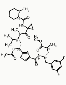 COC(=O)[C@@H](C)C[C@H](Cc1cc(F)cc(F)c1)NC(=O)c1csc([C@@H](C[C@H](C(C)C)N(C)C(=O)C2(NC(=O)[C@H]3CCCCN3C)CC2)OC(C)=O)n1